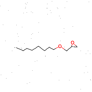 [CH2]CCCCCCCOCC1CO1